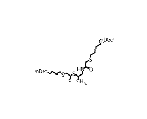 CCCCCCCCCCCCCCSCC(=O)NCC(C)SC(=O)CSCCCCCCCCCCCCCC